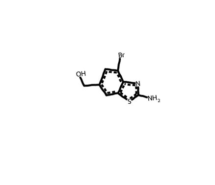 Nc1nc2c(Br)cc(CO)cc2s1